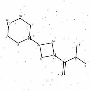 C=C(C(C)C)N1CC(N2CCOCC2)C1